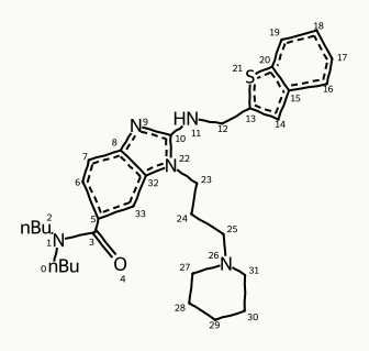 CCCCN(CCCC)C(=O)c1ccc2nc(NCc3cc4ccccc4s3)n(CCCN3CCCCC3)c2c1